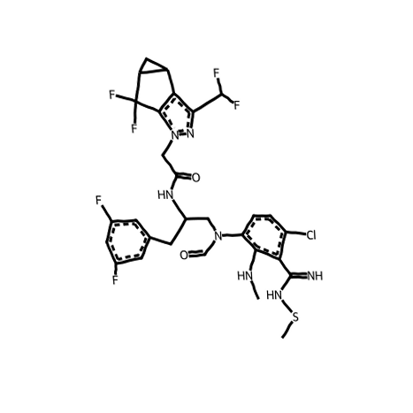 CNc1c(N(C=O)CC(Cc2cc(F)cc(F)c2)NC(=O)Cn2nc(C(F)F)c3c2C(F)(F)C2CC32)ccc(Cl)c1C(=N)NSC